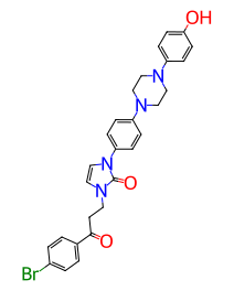 O=C(CCn1ccn(-c2ccc(N3CCN(c4ccc(O)cc4)CC3)cc2)c1=O)c1ccc(Br)cc1